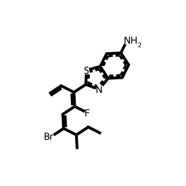 C=C/C(=C(F)\C=C(\Br)C(C)CC)c1nc2ccc(N)cc2s1